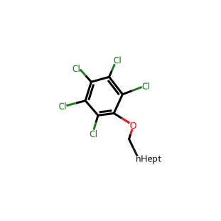 CCCCCCCCOc1c(Cl)c(Cl)c(Cl)c(Cl)c1Cl